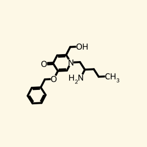 CCCC(N)Cn1cc(OCc2ccccc2)c(=O)cc1CO